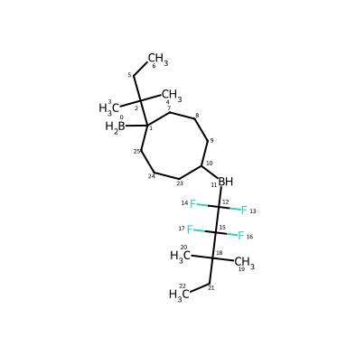 BC1(C(C)(C)CC)CCCC(BC(F)(F)C(F)(F)C(C)(C)CC)CCC1